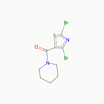 O=C(c1sc(Br)nc1Br)N1CCCCC1